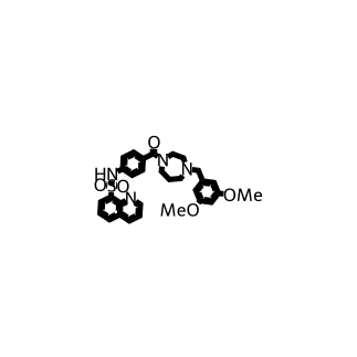 COc1cc(CN2CCCN(C(=O)c3ccc(NS(=O)(=O)c4cccc5cccnc45)cc3)CC2)cc(OC)c1